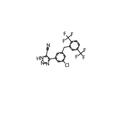 N#Cc1[nH]nnc1-c1cc(Cl)cc(Cc2cc(C(F)(F)F)ccc2C(F)(F)F)c1